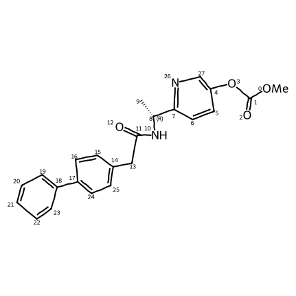 COC(=O)Oc1ccc([C@@H](C)NC(=O)Cc2ccc(-c3ccccc3)cc2)nc1